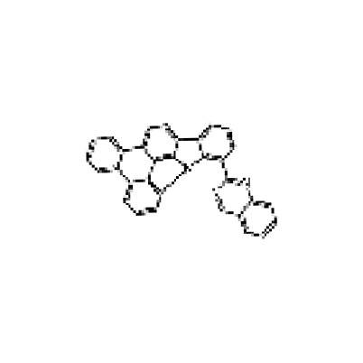 c1ccc2nc(-c3cccc4c5ccc6c7ccccc7c7cccc8c7c6c5n8c34)ncc2c1